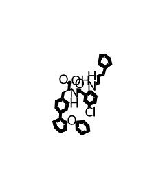 O=C(N[C@@H](Cc1ccc(-c2ccccc2Oc2ccccc2)cc1)C(=O)O)c1cc(Cl)ccc1NCCCc1ccccc1